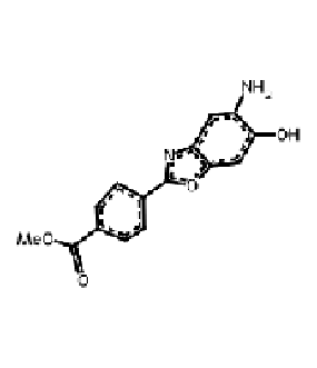 COC(=O)c1ccc(-c2nc3cc(N)c(O)cc3o2)cc1